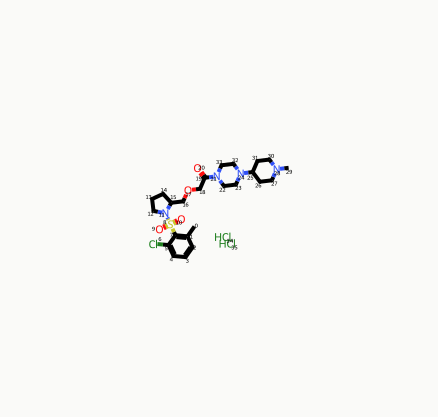 Cc1cccc(Cl)c1S(=O)(=O)N1CCCC1COCC(=O)N1CCN(C2CCN(C)CC2)CC1.Cl.Cl